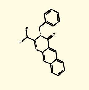 CC(C)C(Br)c1nc2cc3ccccc3cc2c(=O)n1Cc1ccccc1